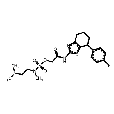 CN(C)CCN(C)S(=O)(=O)OCC(=O)Nc1nc2c(s1)C(c1ccc(F)cc1)CCC2